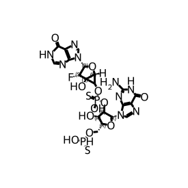 Nc1nc2c(ncn2[C@@H]2O[C@H](CO[PH](O)=S)[C@@H](O)[C@H]2OP(O)(=S)OC2[C@H]3O[C@@H](n4cnc5c(=O)[nH]cnc54)[C@@H](F)[C@@]23O)c(=O)[nH]1